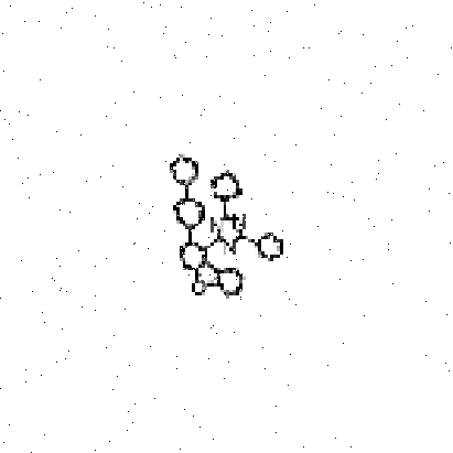 c1ccc(-c2ccc(-c3ccc4oc5ccccc5c4c3-c3nc(-c4ccccc4)nc(-c4ccccc4)n3)cc2)cc1